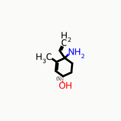 C=CC1(N)CC[C@H](O)C=C1C